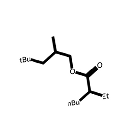 CCCCC(CC)C(=O)OCC(C)CC(C)(C)C